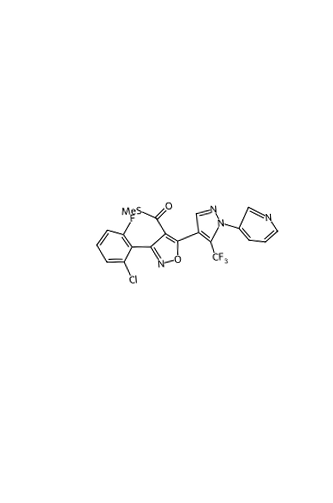 CSC(=O)c1c(-c2c(F)cccc2Cl)noc1-c1cnn(-c2cccnc2)c1C(F)(F)F